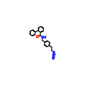 [N-]=[N+]=NCCc1ccc(CNC(=O)c2ccccc2-c2ccccc2)cc1